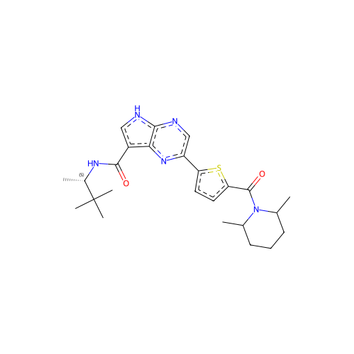 CC1CCCC(C)N1C(=O)c1ccc(-c2cnc3[nH]cc(C(=O)N[C@@H](C)C(C)(C)C)c3n2)s1